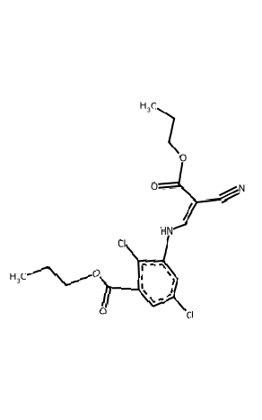 CCCOC(=O)C(C#N)=CNc1cc(Cl)cc(C(=O)OCCC)c1Cl